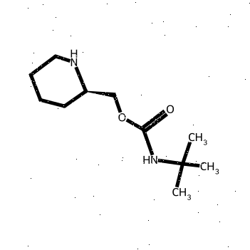 CC(C)(C)NC(=O)OC[C@H]1CCCCN1